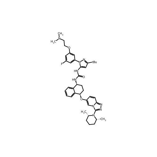 C[C@@H]1CCC[C@H](C)N1c1nnc2ccc(O[C@@H]3CC[C@H](NC(=O)Nc4cc(C(C)(C)C)nn4-c4cc(F)cc(OCCN(C)C)c4)c4ccccc43)cn12